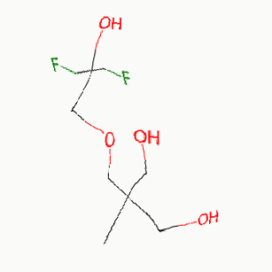 CC(CO)(CO)COCC(O)(F)F